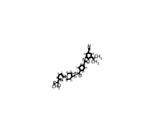 COC(=O)c1cccc(N2CCC(CNC(=O)c3ccc(-c4nc5cc(C#N)cc(C(C)C)c5o4)cc3)CC2)n1